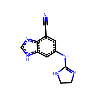 N#Cc1cc(NC2=NCCN2)cc2[nH]cnc12